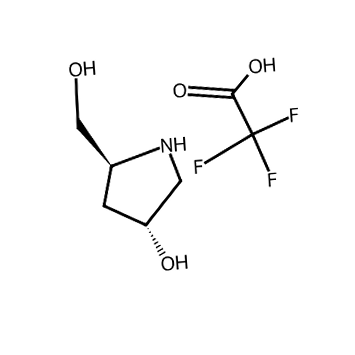 O=C(O)C(F)(F)F.OC[C@@H]1C[C@@H](O)CN1